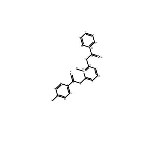 Cc1ccc(C(=O)Cc2cccc(CC(=O)c3ccccc3)[n+]2C)cc1